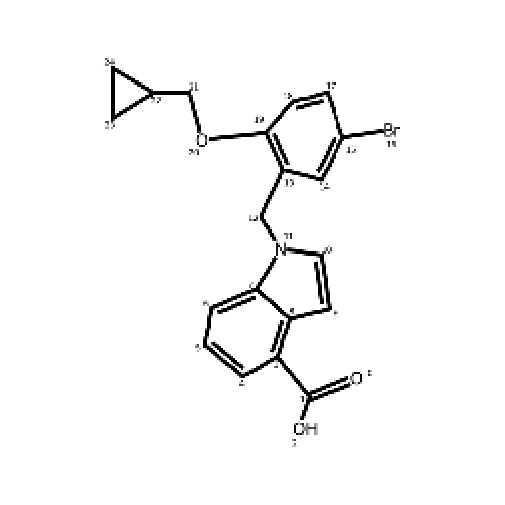 O=C(O)c1cccc2c1ccn2Cc1cc(Br)ccc1OCC1CC1